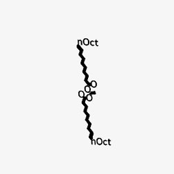 CCCCCCCCC=CCCCCCCCC(=O)OC(C)OC(=O)CCCCCCCC=CCCCCCCCC